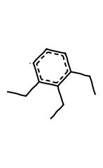 CCc1[c]ccc(CC)c1CC